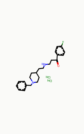 Cl.Cl.O=C(CCNCCC1CCN(Cc2ccccc2)CC1)c1ccc(F)cc1